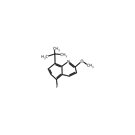 COc1ccc2c(F)ccc(C(C)(C)C)c2n1